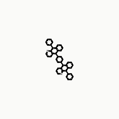 c1ccc(-c2c3ccccc3c(-c3ccc(-c4c5ccccc5c(-c5ccccc5)c5ncccc45)cc3)c3cccnc23)cc1